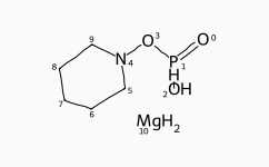 O=[PH](O)ON1CCCCC1.[MgH2]